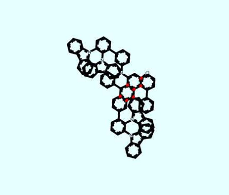 Clc1cc(N(c2cccc(-c3cccc(-n4c5ccccc5c5ccccc54)c3-n3c4ccccc4c4ccccc43)c2)c2ccccc2-c2ccccc2)cc(N(c2cccc(-c3cccc(-n4c5ccccc5c5ccccc54)c3-n3c4ccccc4c4ccccc43)c2)c2ccccc2-c2ccccc2)c1